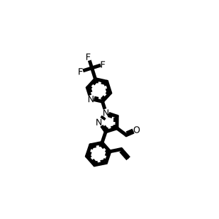 C=Cc1ccccc1-c1nn(-c2ccc(C(F)(F)F)cn2)cc1C=O